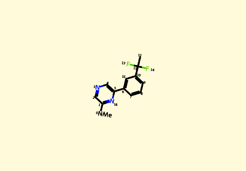 CNc1cncc(-c2cccc(C(C)(F)F)c2)n1